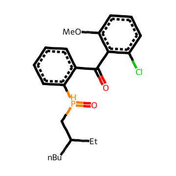 CCCCC(CC)C[PH](=O)c1ccccc1C(=O)c1c(Cl)cccc1OC